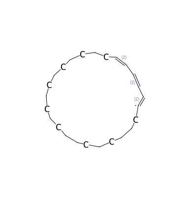 [C]1=C/C=C\C=C/CCCCCCCCCCCCCCCCCCC\1